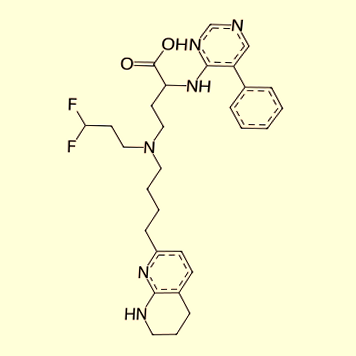 O=C(O)C(CCN(CCCCc1ccc2c(n1)NCCC2)CCC(F)F)Nc1ncncc1-c1ccccc1